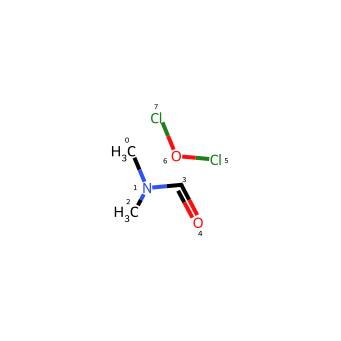 CN(C)C=O.ClOCl